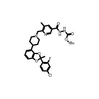 Cc1cc(C(=O)NNC(=O)OC(C)(C)C)cnc1CN1CCC(c2cccc3c2OC(C)(c2ccc(Cl)cc2F)O3)CC1